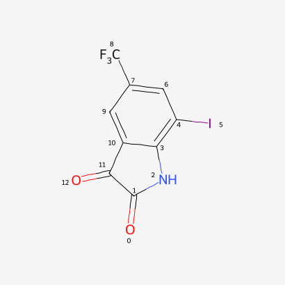 O=C1Nc2c(I)cc(C(F)(F)F)cc2C1=O